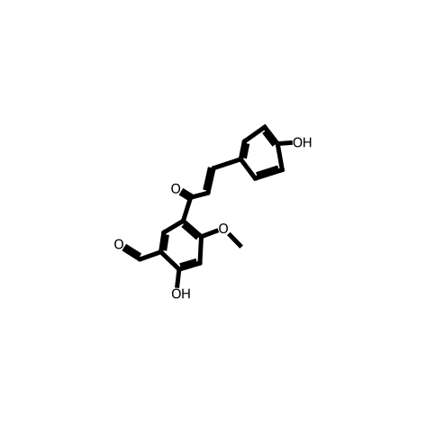 COc1cc(O)c(C=O)cc1C(=O)/C=C/c1ccc(O)cc1